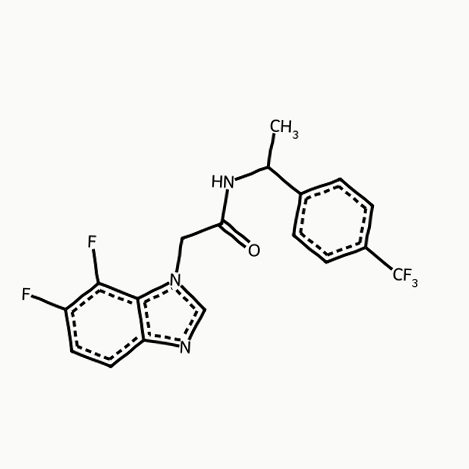 CC(NC(=O)Cn1cnc2ccc(F)c(F)c21)c1ccc(C(F)(F)F)cc1